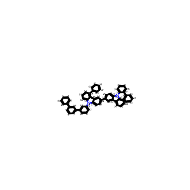 c1ccc(-c2cccc(-c3cccc(-n4c5ccc(-c6ccc7c(c6)c6ccccc6n7-c6ccccc6-c6ccccc6)cc5c5c(-c6ccccc6)cccc54)c3)c2)cc1